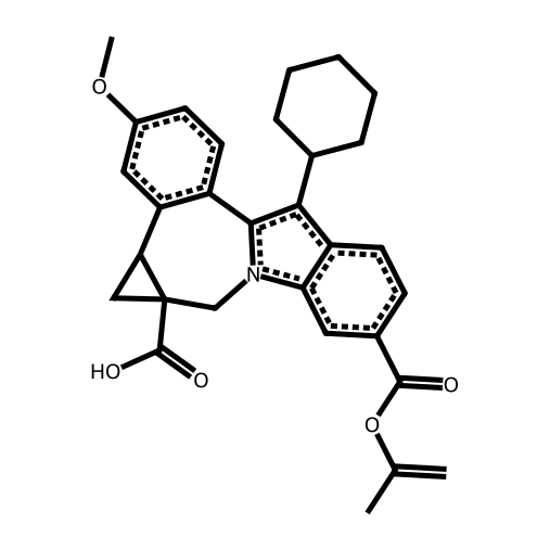 C=C(C)OC(=O)c1ccc2c(C3CCCCC3)c3n(c2c1)CC1(C(=O)O)CC1c1cc(OC)ccc1-3